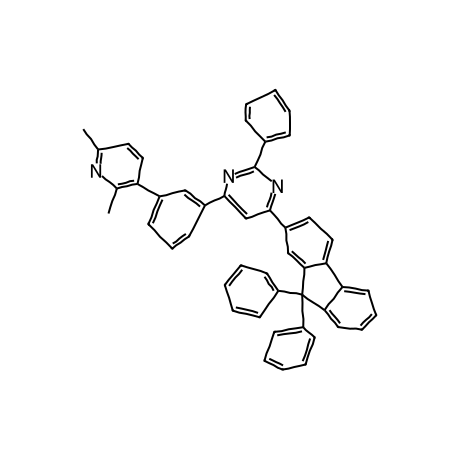 Cc1ccc(-c2cccc(-c3cc(-c4ccc5c(c4)C(c4ccccc4)(c4ccccc4)c4ccccc4-5)nc(-c4ccccc4)n3)c2)c(C)n1